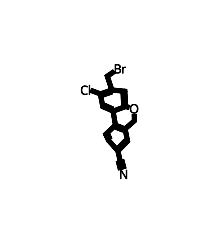 N#Cc1ccc2c(c1)COc1cc(CBr)c(Cl)cc1-2